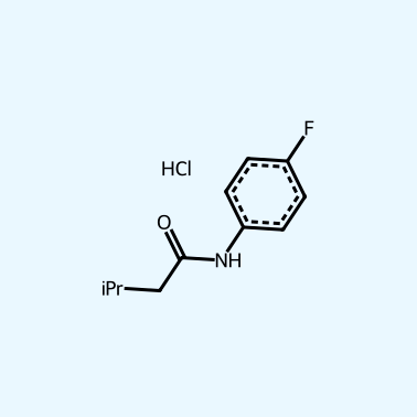 CC(C)CC(=O)Nc1ccc(F)cc1.Cl